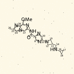 COc1nc(NC(=O)c2cnc(N3CC(CNC4CC4)C3)cn2)cn2cc(C)nc12